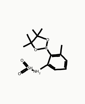 Cc1cccc(C)c1B1OC(C)(C)C(C)(C)O1.N[SH](=O)=O